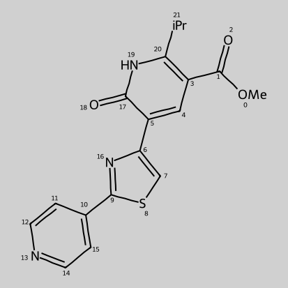 COC(=O)c1cc(-c2csc(-c3ccncc3)n2)c(=O)[nH]c1C(C)C